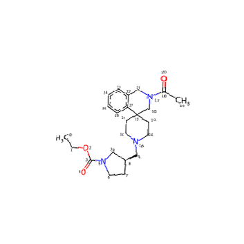 CCOC(=O)N1CC[C@H](CN2CCC3(CC2)CN(C(C)=O)Cc2ccccc23)C1